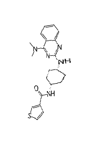 CN(C)c1nc(N[C@H]2CC[C@@H](NC(=O)c3ccsc3)CC2)nc2ccccc12